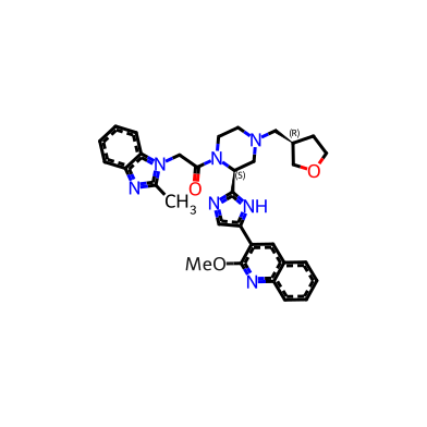 COc1nc2ccccc2cc1-c1cnc([C@@H]2CN(C[C@H]3CCOC3)CCN2C(=O)Cn2c(C)nc3ccccc32)[nH]1